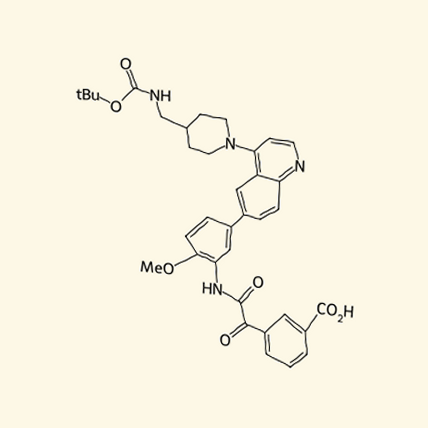 COc1ccc(-c2ccc3nccc(N4CCC(CNC(=O)OC(C)(C)C)CC4)c3c2)cc1NC(=O)C(=O)c1cccc(C(=O)O)c1